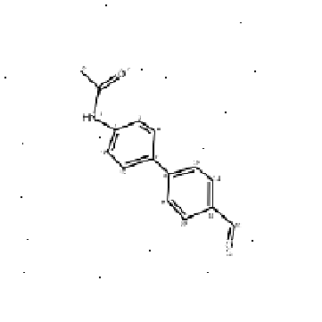 CC(=O)Nc1ccc(-c2ccc(C=O)cc2)cc1